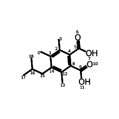 Cc1c(C)c(C(=O)O)c(C(=O)O)c(C)c1CC(C)C